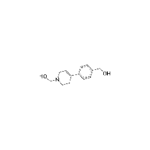 OCc1ccc(C2=CCN(CO)CC2)cc1